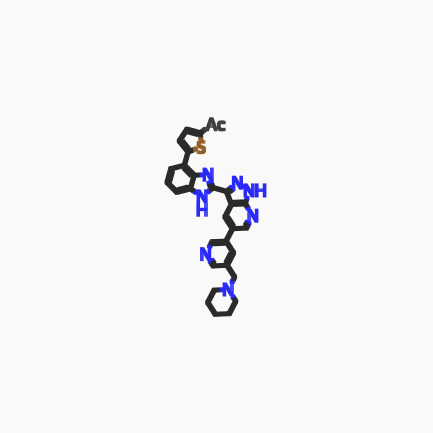 CC(=O)c1ccc(-c2cccc3[nH]c(-c4n[nH]c5ncc(-c6cncc(CN7CCCCC7)c6)cc45)nc23)s1